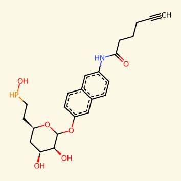 C#CCCCC(=O)Nc1ccc2cc(OC3O[C@H](CCPO)C[C@H](O)[C@@H]3O)ccc2c1